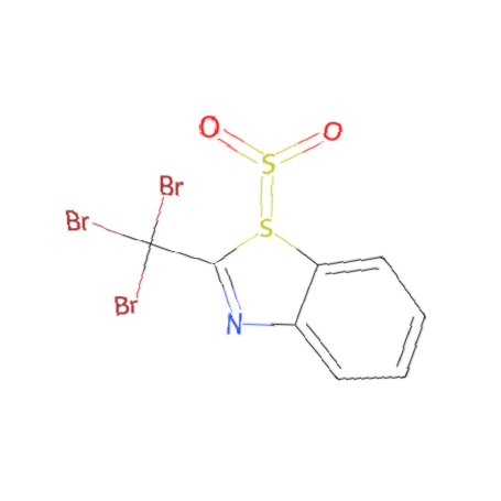 O=S(=O)=S1C(C(Br)(Br)Br)=Nc2ccccc21